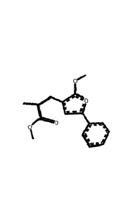 COC(=O)C(C)Cc1cc(-c2ccccc2)oc1OC